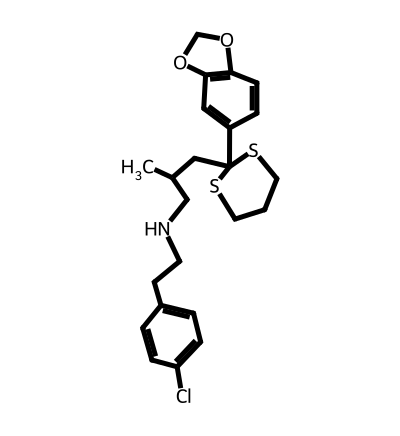 CC(CNCCc1ccc(Cl)cc1)CC1(c2ccc3c(c2)OCO3)SCCCS1